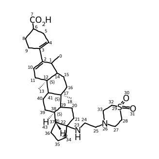 CC1C(C2=CCC(C(=O)O)CC2)=CC[C@@]2(C)C1CC[C@@]1(C)C3CCC4(NCCN5CCS(=O)(=O)CC5)CCC[C@@H]4[C@H]3CCC21